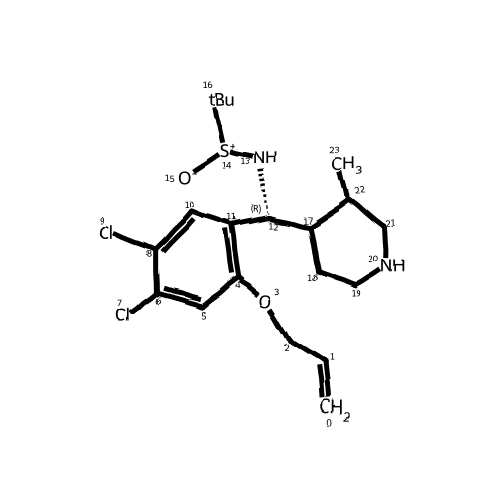 C=CCOc1cc(Cl)c(Cl)cc1[C@H](N[S+]([O-])C(C)(C)C)C1CCNCC1C